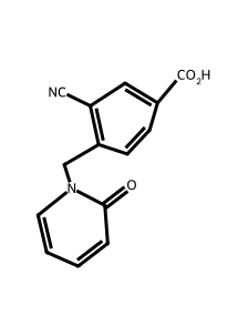 N#Cc1cc(C(=O)O)ccc1Cn1ccccc1=O